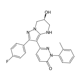 Cc1ccccc1-n1nc(-c2c(-c3ccc(F)cc3)nn3c2NC[C@H](O)C3)ccc1=O